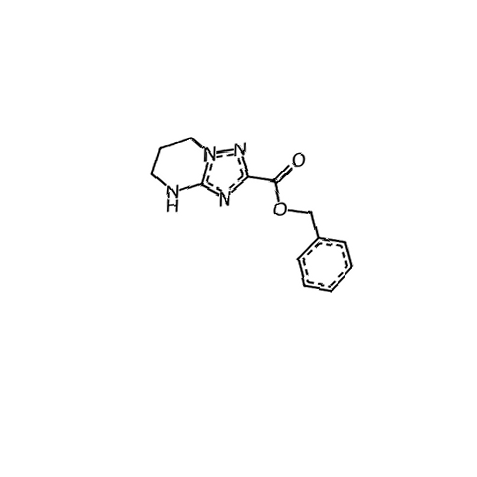 O=C(OCc1ccccc1)c1nc2n(n1)CCCN2